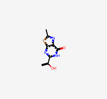 C=C(O)c1nc2sc(C)nc2c(=O)[nH]1